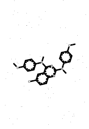 COc1ccc(N(C)c2nc(N(C)c3ccc(OC)cc3)c3cc(Cl)ccc3n2)cc1